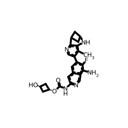 Cc1c(-c2cc3cc(NC(=O)O[C@H]4C[C@@H](O)C4)ncc3c(N)c2F)cnc2c1NC1CC2C1